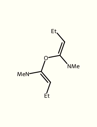 CCC=C(NC)OC(=CCC)NC